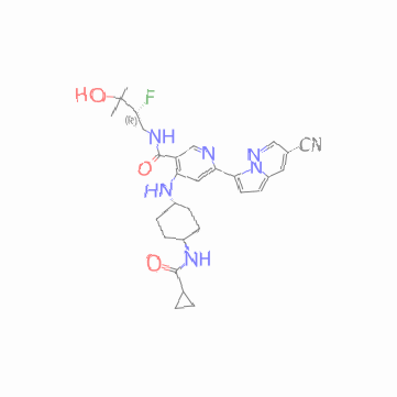 CC(C)(O)[C@H](F)CNC(=O)c1cnc(-c2ccc3cc(C#N)cnn23)cc1N[C@H]1CC[C@H](NC(=O)C2CC2)CC1